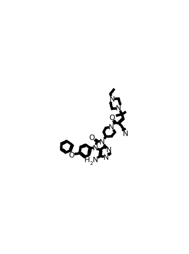 CCN1CCN(C(C)(C)/C=C(/C#N)C(=O)N2CCC(n3c(=O)n(-c4ccc(Oc5ccccc5)cc4)c4c(N)ncnc43)CC2)CC1